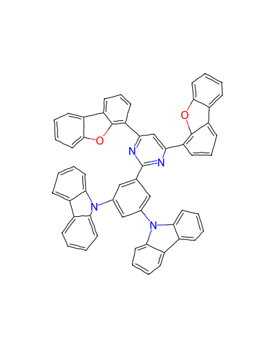 c1ccc2c(c1)oc1c(-c3cc(-c4cccc5c4oc4ccccc45)nc(-c4cc(-n5c6ccccc6c6ccccc65)cc(-n5c6ccccc6c6ccccc65)c4)n3)cccc12